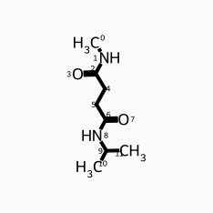 CNC(=O)CCC(=O)NC(C)C